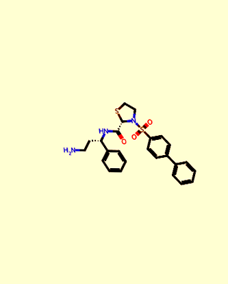 NCC[C@H](NC(=O)[C@@H]1SCCN1S(=O)(=O)c1ccc(-c2ccccc2)cc1)c1ccccc1